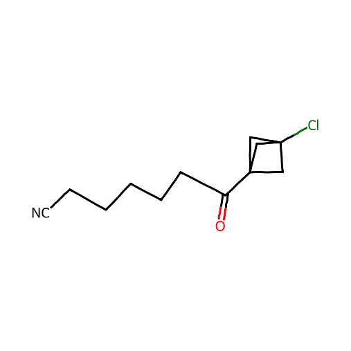 N#CCCCCCC(=O)C12CC(Cl)(C1)C2